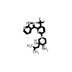 CC(C)C[C@]1(O)CN(c2ccc(C(F)(F)F)c(-c3n[nH]c4ncccc34)n2)CC[C@H]1N